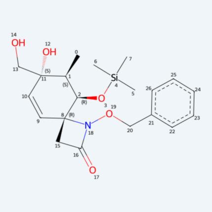 C[C@H]1[C@@H](O[Si](C)(C)C)[C@]2(C=C[C@@]1(O)CO)CC(=O)N2OCc1ccccc1